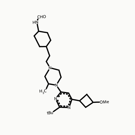 COC1CC(c2cc(N3CCN(CCC4CCC(NC=O)CC4)CC3C)nc(C(C)(C)C)n2)C1